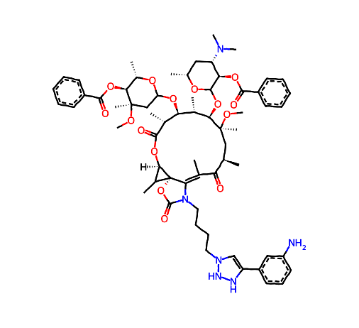 CO[C@]1(C)CC(O[C@H]2[C@H](C)[C@@H](OC3O[C@H](C)C[C@H](N(C)C)[C@H]3OC(=O)c3ccccc3)[C@@](C)(OC)C[C@@H](C)C(=O)/C(C)=C3\N(CCCCN4C=C(c5cccc(N)c5)NN4)C(=O)O[C@@]34C(C)[C@H]4OC(=O)[C@@H]2C)O[C@@H](C)[C@@H]1OC(=O)c1ccccc1